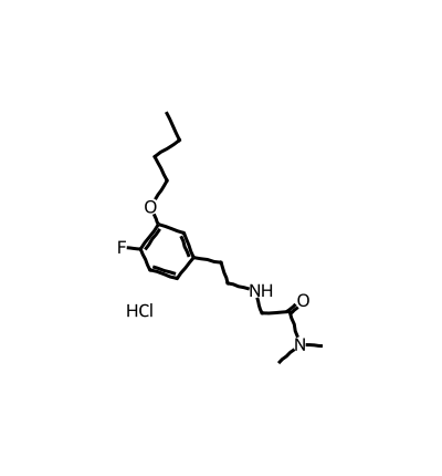 CCCCOc1cc(CCNCC(=O)N(C)C)ccc1F.Cl